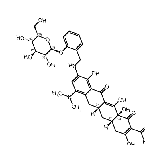 CN(C)c1cc(NCc2ccccc2O[C@@H]2O[C@H](CO)[C@@H](O)[C@H](O)[C@H]2O)c(O)c2c1C[C@H]1C[C@H]3CC(O)=C(C(N)=O)C(=O)[C@@]3(O)C(O)=C1C2=O